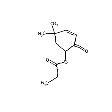 CCC(=O)OC1CC(C)(C)C=CC1=O